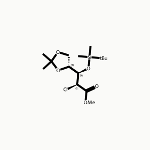 COC(=O)[C@@H](Cl)[C@H](O[Si](C)(C)C(C)(C)C)[C@H]1COC(C)(C)O1